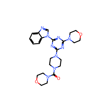 O=C(N1CCOCC1)N1CCN(c2nc(N3CCOCC3)nc(-n3cnc4ccccc43)n2)CC1